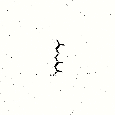 CC(=O)OC(C)/C=C(\C)CCC=C(C)C